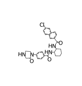 O=C(NC1CCCCC1NC(=O)c1ccc2cc(Cl)ccc2c1)c1ccc(N2CCNCC2=O)cc1